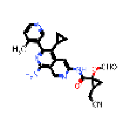 Cc1ccncc1-c1nc(N)c2cnc(NC(=O)C3(OC=O)CC3CC#N)cc2c1C1CC1